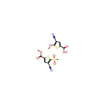 COC(=O)c1cc(C#N)c(S(C)(=O)=O)s1.COc1sc(C(=O)O)cc1C#N